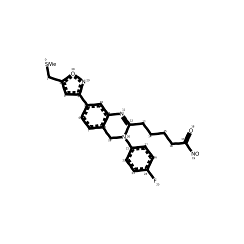 CSCc1cc(-c2ccc3c(c2)N=C(CCCCC(=O)N=O)N(c2ccc(F)cc2)C3)no1